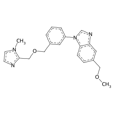 COCc1ccc2c(c1)ncn2-c1cccc(COCc2nccn2C)c1